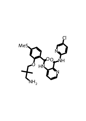 CSc1ccc(C(=O)Nc2cccnc2C(=O)Nc2ccc(Cl)cn2)c(OCC(C)(C)CN)c1